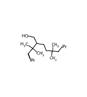 CC(C)CC(C)(C)CCC(CO)C(C)(C)CC(C)C